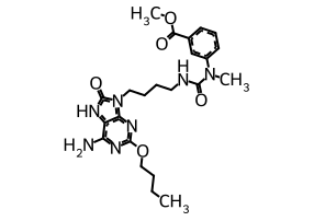 CCCCOc1nc(N)c2[nH]c(=O)n(CCCCNC(=O)N(C)c3cccc(C(=O)OC)c3)c2n1